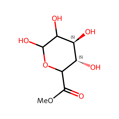 COC(=O)C1OC(O)C(O)[C@@H](O)[C@@H]1O